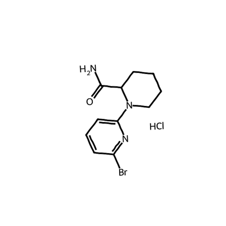 Cl.NC(=O)C1CCCCN1c1cccc(Br)n1